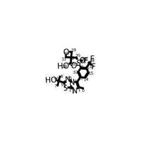 Cc1nc2sc(C(C)(C)O)nn2c1-c1ccc(C(F)(F)F)c(S(=O)(=O)CC2(CO)COC2)c1